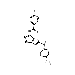 CN1CCN(C(=O)c2cc3[nH]nc(NC(=O)c4ccc(F)cc4)c3s2)CC1